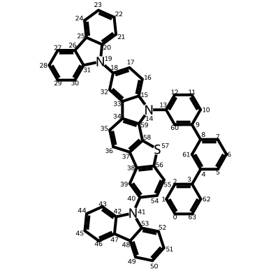 c1ccc(-c2cccc(-c3cccc(-n4c5ccc(-n6c7ccccc7c7ccccc76)cc5c5ccc6c7cc(-n8c9ccccc9c9ccccc98)ccc7sc6c54)c3)c2)cc1